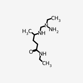 CCNC(=O)CCC(C)NCN(N)CC